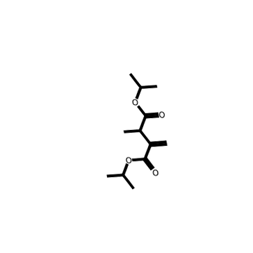 C=C(C(=O)OC(C)C)C(C)C(=O)OC(C)C